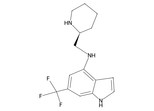 FC(F)(F)c1cc(NC[C@@H]2CCCCN2)c2cc[nH]c2c1